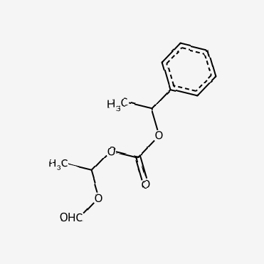 CC(OC=O)OC(=O)OC(C)c1ccccc1